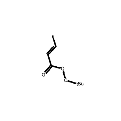 C/C=C/C(=O)OOC(C)(C)C